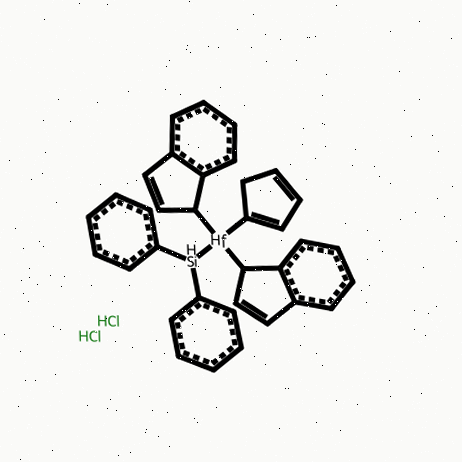 C1=CC[C]([Hf]([CH]2C=Cc3ccccc32)([CH]2C=Cc3ccccc32)[SiH](c2ccccc2)c2ccccc2)=C1.Cl.Cl